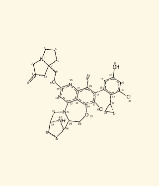 C=C1CN2CCCC2(COc2nc3c4c(c(Cl)c(-c5cc(O)cc(Cl)c5C5CC5)c(F)c4n2)OCC2C4CCC(CN32)N4)C1